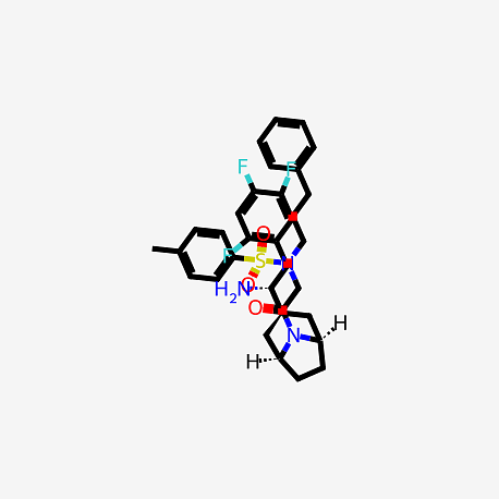 Cc1ccc(S(=O)(=O)N(CCCc2ccccc2)CC(=O)N2[C@@H]3CC[C@H]2C[C@@H]([C@H](N)Cc2cc(F)c(F)cc2F)C3)cc1